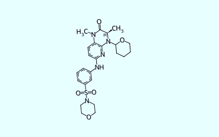 C[C@@H]1C(=O)N(C)c2ccc(Nc3cccc(S(=O)(=O)N4CCOCC4)c3)nc2N1C1CCCCO1